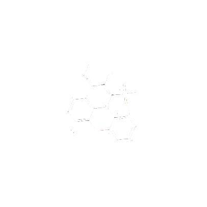 C/C=C\C(C)=C(/N1c2ccccc2Oc2ccccc21)S(=O)(=O)[O-].[Na+]